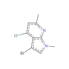 CCc1cn(C)c2nc(C)cc(Cl)c12